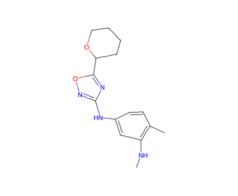 CNc1cc(Nc2noc(C3CCCCO3)n2)ccc1C